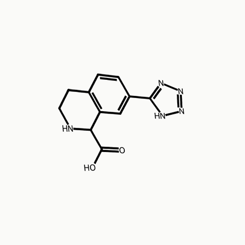 O=C(O)C1NCCc2ccc(-c3nnn[nH]3)cc21